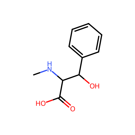 CNC(C(=O)O)C(O)c1ccccc1